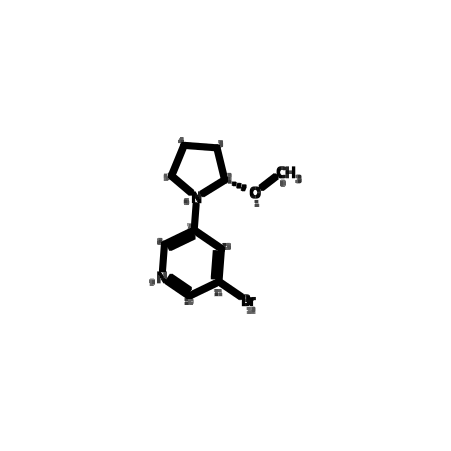 CO[C@H]1CCCN1c1cncc(Br)c1